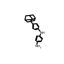 Nc1ccc(Nc2ccc(C34CC5CC(CC(C5)C3)C4)cc2)cc1